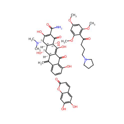 C=C1c2cccc(O)c2C(=O)C2=C(O)[C@]3(O)C(=O)C(C(N)=O)=C(O)[C@@H](N(C)C)[C@@H]3[C@@H](O)[C@H]12.COc1cc(OC)c(C(=O)CCCN2CCCC2)c(OC)c1.O=c1ccc2cc(O)c(O)cc2o1